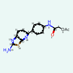 CC(=O)OCC(=O)Nc1ccc(-c2ccc3nc(N)sc3n2)cc1